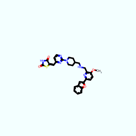 COc1ccc(-c2cc3ccccc3o2)nc1CNCC1CCN(c2nccc(/C=C3/SC(=O)NC3=O)n2)CC1